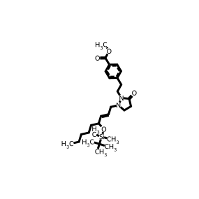 CCCCCC(C=CCN1CCC(=O)N1CCc1ccc(C(=O)OC)cc1)O[Si](C)(C)C(C)(C)C